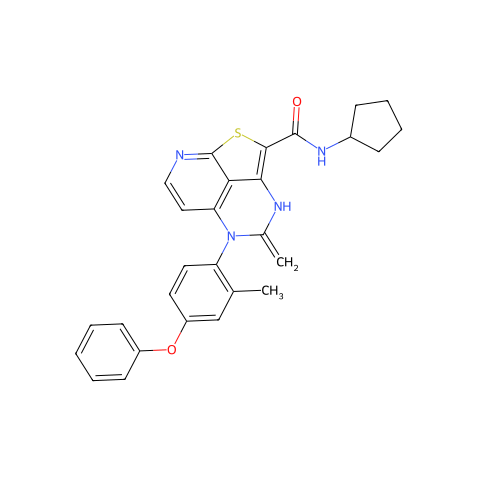 C=c1[nH]c2c(C(=O)NC3CCCC3)sc3nccc(c32)n1-c1ccc(Oc2ccccc2)cc1C